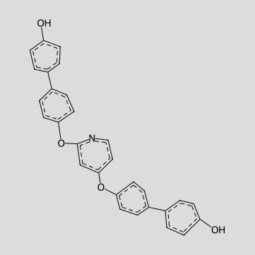 Oc1ccc(-c2ccc(Oc3ccnc(Oc4ccc(-c5ccc(O)cc5)cc4)c3)cc2)cc1